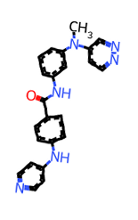 CN(c1ccnnc1)c1cccc(NC(=O)c2ccc(Nc3ccncc3)cc2)c1